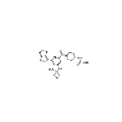 CC1(Nc2cc(C(=O)N3CCC(NC(=O)O)CC3)nc(-c3cnn4ccsc34)n2)COC1